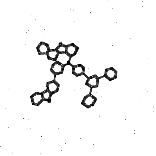 c1ccc(-c2cc(-c3ccccc3)cc(-c3ccc(N(c4cccc(-c5ccc6oc7ccccc7c6c5)c4)c4cccc5oc6c7ccccc7ccc6c45)cc3)c2)cc1